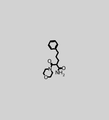 NC(=O)C(CCCc1ccccc1)C(=O)N1CCOCC1